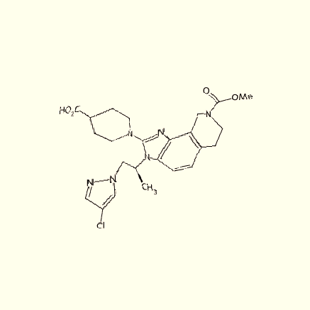 COC(=O)N1CCc2ccc3c(nc(N4CCC(C(=O)O)CC4)n3[C@@H](C)Cn3cc(Cl)cn3)c2C1